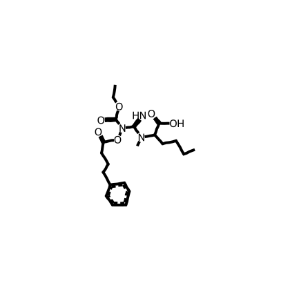 CCCCC(C(=O)O)N(C)C(=N)N(OC(=O)CCCc1ccccc1)C(=O)OCC